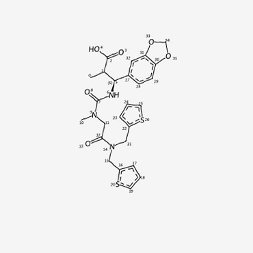 CC(C(=O)O)[C@H](NC(=O)N(C)CC(=O)N(Cc1cccs1)Cc1cccs1)c1ccc2c(c1)OCO2